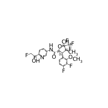 COc1c([C@H]2[C@H](C(=O)Nc3ccc([C@@H](O)CF)nc3)O[C@@](C)(C(F)(F)F)[C@H]2C)ccc(F)c1F